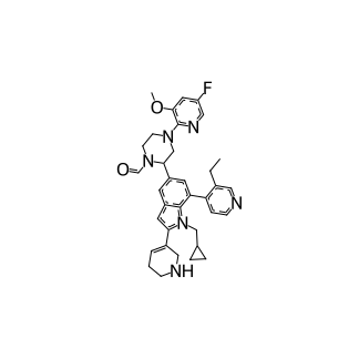 CCc1cnccc1-c1cc(C2CN(c3ncc(F)cc3OC)CCN2C=O)cc2cc(C3=CCCNC3)n(CC3CC3)c12